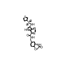 O=C1COc2ccc(CNC(=O)c3ncnc4c(NS(=O)(=O)c5ccsc5)c[nH]c34)cc2N1